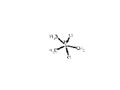 B[SH](C)(C)(Cl)Cl